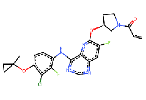 C=CC(=O)N1CC[C@H](Oc2nc3c(Nc4ccc(OC5(C)CC5)c(Cl)c4F)ncnc3cc2F)C1